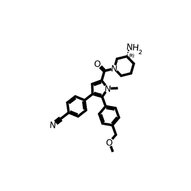 COCc1ccc(-c2c(-c3ccc(C#N)cc3)cc(C(=O)N3CCC[C@@H](N)C3)n2C)cc1